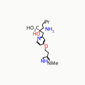 CN/C=C(\C=N)CCOc1ccnc(C[C@](O)(C(=O)O)[C@@H](N)CC(C)C)c1